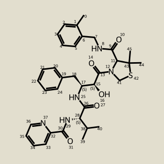 Cc1ccccc1CNC(=O)C1N(C(=O)[C@@H](O)[C@H](Cc2ccccc2)NC(=O)[C@@H](NC(=O)c2ccccn2)C(C)C)CSC1(C)C